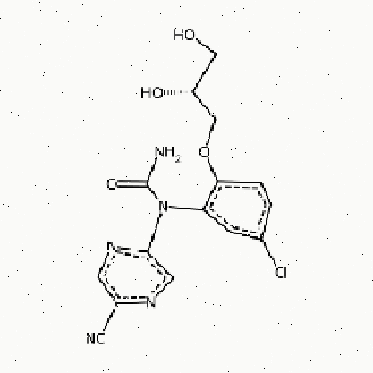 N#Cc1cnc(N(C(N)=O)c2cc(Cl)ccc2OC[C@H](O)CO)cn1